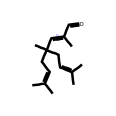 CC(C)=CCC(C)(/C=C(\C)C=O)CC=C(C)C